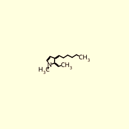 C/C=c1\c(=C/CCCCC)ccn1C